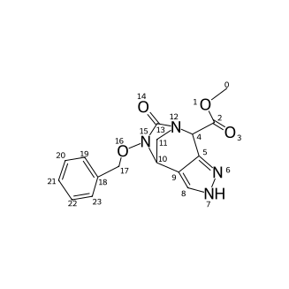 COC(=O)C1c2n[nH]cc2C2CN1C(=O)N2OCc1ccccc1